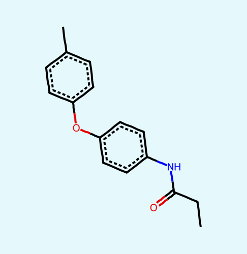 CCC(=O)Nc1ccc(Oc2ccc(C)cc2)cc1